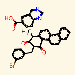 CC1C(=O)C(Cc2cccc(Br)c2)C(=O)c2c1ccc1c2ccc2ccccc21.O=C(O)c1ccc2ncncc2c1